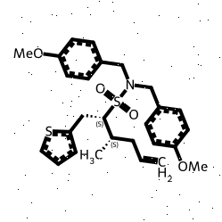 C=CC[C@H](C)[C@H](Cc1cccs1)S(=O)(=O)N(Cc1ccc(OC)cc1)Cc1ccc(OC)cc1